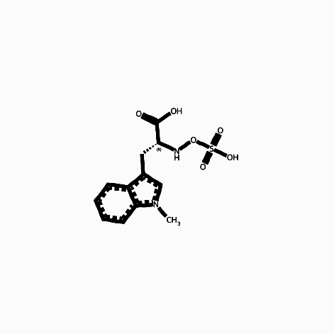 Cn1cc(C[C@@H](NOS(=O)(=O)O)C(=O)O)c2ccccc21